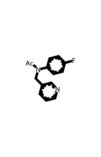 CC(=O)N(Cc1cccnc1)c1ccc(F)cc1